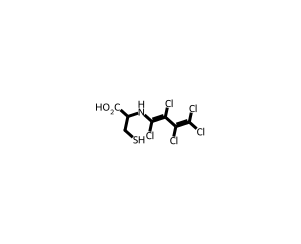 O=C(O)C(CS)NC(Cl)=C(Cl)C(Cl)=C(Cl)Cl